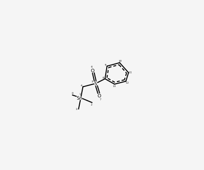 [CH3][Sn]([CH3])([CH3])[CH2]S(=O)(=O)c1ccccc1